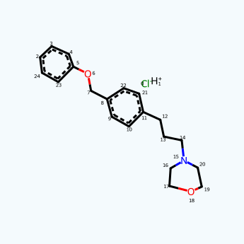 [Cl-].[H+].c1ccc(OCc2ccc(CCCN3CCOCC3)cc2)cc1